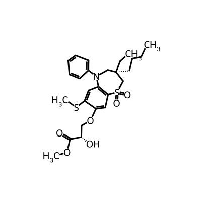 CCCC[C@@]1(CC)CN(c2ccccc2)c2cc(SC)c(OC[C@H](O)C(=O)OC)cc2S(=O)(=O)C1